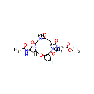 COC(=O)CCNC(=O)[C@@H]1CCC(=O)N(C)CC(=O)N2C[C@@H](NC(C)=O)C[C@H]2COc2ccc(F)cc2C(=O)N1C